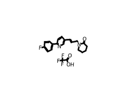 O=C(O)C(F)(F)F.O=C1CCCCN1C/C=C/c1ccc(-c2ccc(F)cc2)nc1